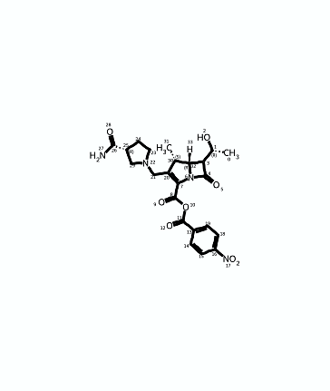 C[C@@H](O)C1C(=O)N2C(C(=O)OC(=O)c3ccc([N+](=O)[O-])cc3)=C(CN3CC[C@@H](C(N)=O)C3)[C@H](C)[C@H]12